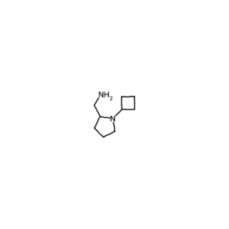 NCC1CCCN1C1CCC1